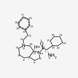 N[C@H](C(=O)N1CCC2CCCN(CCc3ccccc3)C[C@H]21)C1CCCCC1